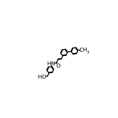 Cc1ccc(-c2cccc(C=CC(=O)Nc3ccc(CO)cc3)c2)cc1